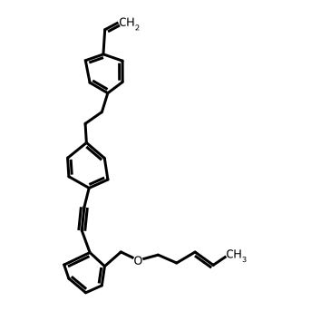 C=Cc1ccc(CCc2ccc(C#Cc3ccccc3COCCC=CC)cc2)cc1